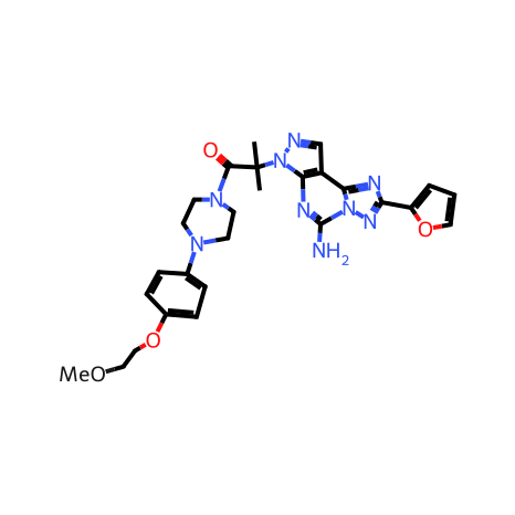 COCCOc1ccc(N2CCN(C(=O)C(C)(C)n3ncc4c3nc(N)n3nc(-c5ccco5)nc43)CC2)cc1